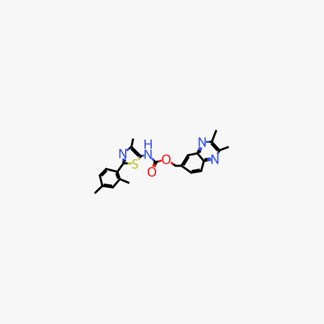 Cc1ccc(-c2nc(C)c(NC(=O)OCc3ccc4nc(C)c(C)nc4c3)s2)c(C)c1